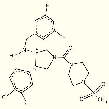 CN(Cc1cc(F)cc(F)c1)[C@@H]1CN(C(=O)N2CCN(S(C)(=O)=O)CC2)C[C@@H]1c1ccc(Cl)c(Cl)c1